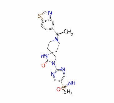 C[C@H](c1ccc2scnc2c1)N1CCC2(CC1)CN(c1ncc([S@](C)(=N)=O)cn1)C(=O)N2